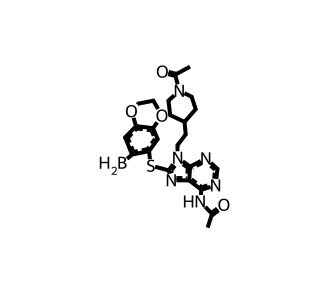 Bc1cc2c(cc1Sc1nc3c(NC(C)=O)ncnc3n1CCC1CCN(C(C)=O)CC1)OCCO2